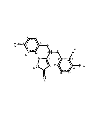 O=C1C=C(N(Cc2ccc(Cl)nc2)Cc2cccc(F)c2F)CO1